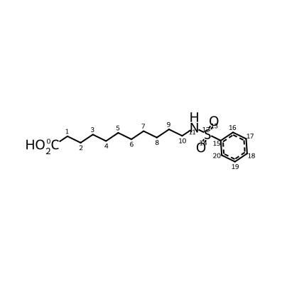 O=C(O)CCCCCCCCCCNS(=O)(=O)c1ccccc1